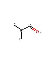 [CH3][In]([CH3])[CH]=O